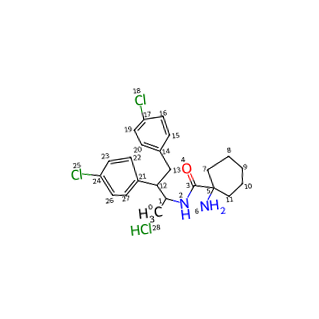 CC(NC(=O)C1(N)CCCCC1)C(Cc1ccc(Cl)cc1)c1ccc(Cl)cc1.Cl